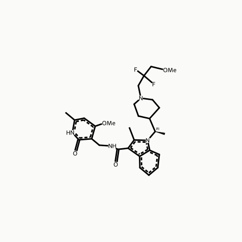 COCC(F)(F)CN1CCC([C@@H](C)n2c(C)c(C(=O)NCc3c(OC)cc(C)[nH]c3=O)c3ccccc32)CC1